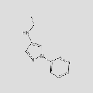 CCNc1cnn(-c2cccnc2)c1